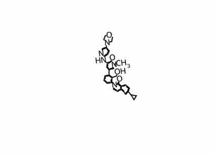 Cn1cc(-c2cccc(-n3ccc4cc(C5CC5)ccc4c3=O)c2CO)cc(Nc2ccc(N3CCOCC3)cn2)c1=O